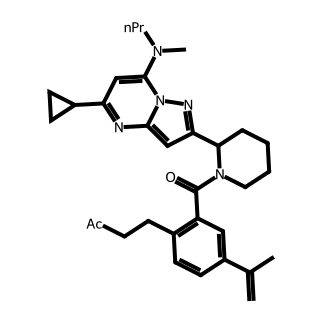 C=C(C)c1ccc(CCC(C)=O)c(C(=O)N2CCCCC2c2cc3nc(C4CC4)cc(N(C)CCC)n3n2)c1